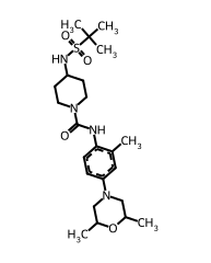 Cc1cc(N2CC(C)OC(C)C2)ccc1NC(=O)N1CCC(NS(=O)(=O)C(C)(C)C)CC1